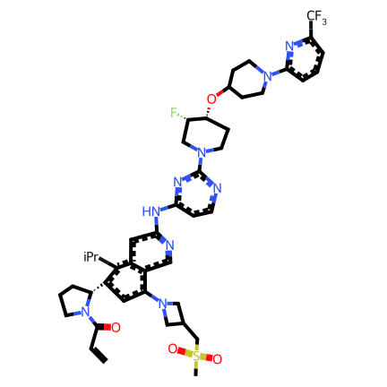 C=CC(=O)N1CCC[C@@H]1c1cc(N2CC(CS(C)(=O)=O)C2)c2cnc(Nc3ccnc(N4CC[C@@H](OC5CCN(c6cccc(C(F)(F)F)n6)CC5)[C@@H](F)C4)n3)cc2c1C(C)C